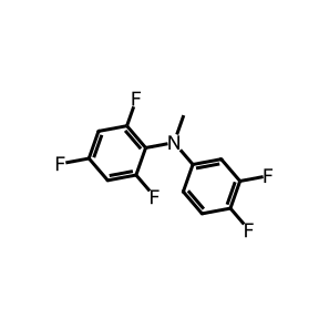 CN(c1ccc(F)c(F)c1)c1c(F)cc(F)cc1F